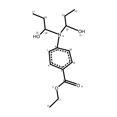 CCOC(=O)c1ccc(N(C(O)CC)C(O)CC)cc1